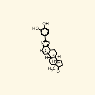 C[C@]12CCc3nc(-c4ccc(O)c(O)c4)sc3C1CC[C@@H]1[C@@H]2CC[C@]2(C)C(=O)CC[C@@H]12